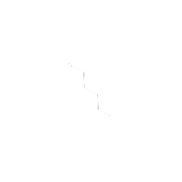 BCCCCN